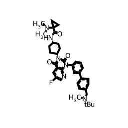 CN(Cc1ccc(-c2cccc(-n3c(=O)n([C@H]4CC[C@@H](NC(=O)C5(N(C)C)CC5)CC4)c(=O)c4cc(F)cnc43)c2)cc1)C(C)(C)C